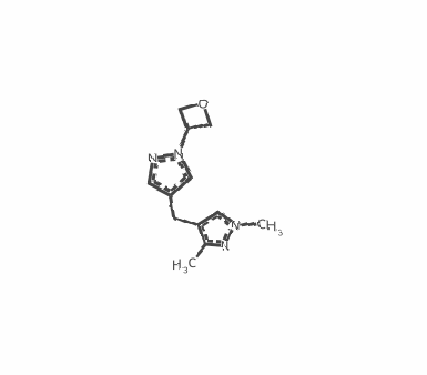 Cc1nn(C)cc1Cc1cnn(C2COC2)c1